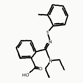 CCN(CC)/C(=N/Sc1ccccc1C)c1ccccc1C(=O)O